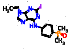 C=Cn1cnc2c(Nc3ccc(P(C)(C)=O)cc3)nc(I)nc21